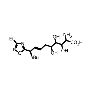 CCCCC(/C=C/CC(O)C(O)C(O)C(N)C(=O)O)c1nc(CC)no1